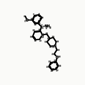 COc1cccc([C@H](N)C2=CC=CCN2CC2CCN(CCOc3ccccc3)CC2)c1